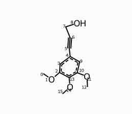 COc1cc(C#CCO)cc(OC)c1OC